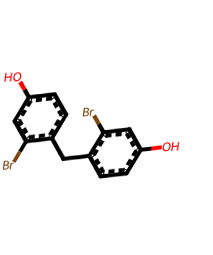 Oc1ccc(Cc2ccc(O)cc2Br)c(Br)c1